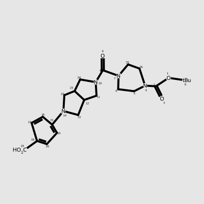 CC(C)(C)OC(=O)N1CCN(C(=O)N2CC3CN(c4ccc(C(=O)O)cc4)CC3C2)CC1